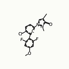 COc1cc(F)c(-c2cc(-n3cc(C)c(=O)n3C)ccc2Cl)c(F)c1